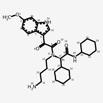 COc1ccc2c(C(=O)C(=O)N(CCCCN)[C@@H](C(=O)NC3CCCCC3)C3CCCCC3)c[nH]c2c1